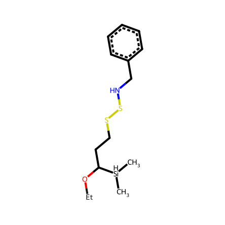 CCOC(CCSSNCc1ccccc1)[SiH](C)C